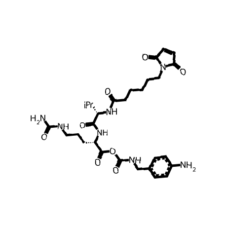 CC(C)[C@H](NC(=O)CCCCCN1C(=O)C=CC1=O)C(=O)N[C@@H](CCCNC(N)=O)C(=O)OC(=O)NCc1ccc(N)cc1